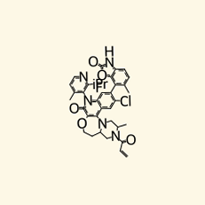 C=CC(=O)N1CC2CCOc3c(c4cc(Cl)c(-c5c(C)ccc6[nH]c(=O)oc56)c(F)c4n(-c4c(C)ccnc4C(C)C)c3=O)N2CC1C